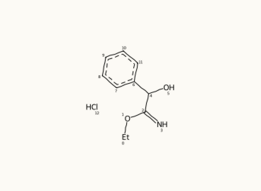 CCOC(=N)C(O)c1ccccc1.Cl